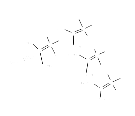 CCCCCS(CCCCC)=P([S-])([S-])[S-].CCCCCS(CCCCC)=P([S-])([S-])[S-].CCCCCS(CCCCC)=P([S-])([S-])[S-].CCCCCS(CCCCC)=P([S-])([S-])[S-].[Mo+4].[Mo+4].[Mo+4]